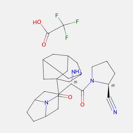 N#C[C@@H]1CCCN1C(=O)[C@@H](N)C1CC2CCC(C1)N2C(=O)C12CC3CC(CC(C3)C1)C2.O=C(O)C(F)(F)F